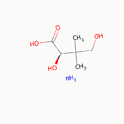 CC(C)(CO)[C@@H](O)C(=O)O.N